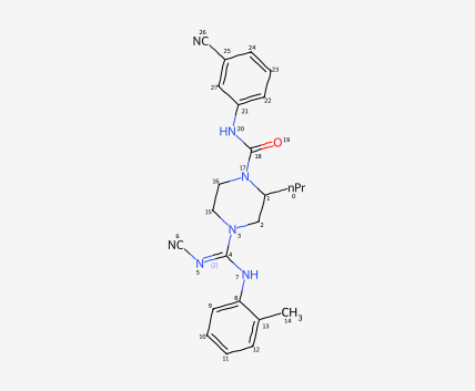 CCCC1CN(/C(=N\C#N)Nc2ccccc2C)CCN1C(=O)Nc1cccc(C#N)c1